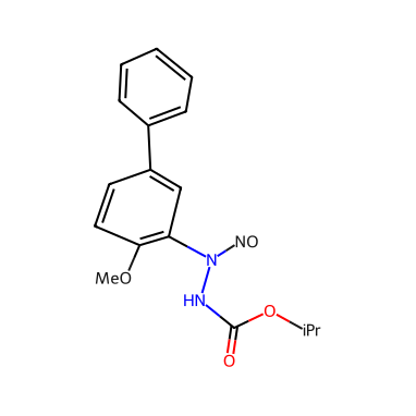 COc1ccc(-c2ccccc2)cc1N(N=O)NC(=O)OC(C)C